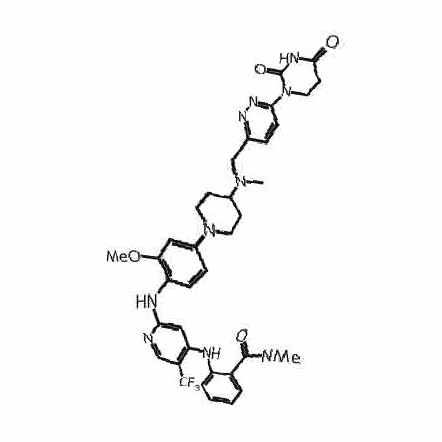 CNC(=O)c1ccccc1Nc1cc(Nc2ccc(N3CCC(N(C)Cc4ccc(N5CCC(=O)NC5=O)nn4)CC3)cc2OC)ncc1C(F)(F)F